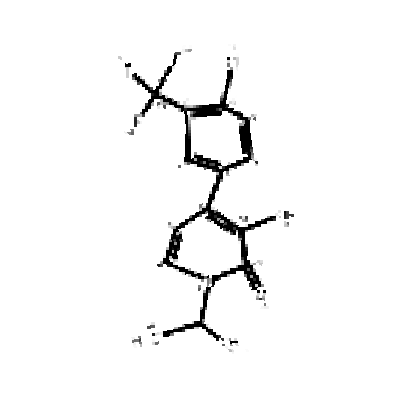 CC(C)n1ccc(-c2ccc(Cl)c(C(F)(F)F)c2)c(O)c1=O